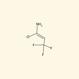 N/C(Cl)=C/C(F)(F)F